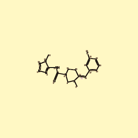 CC1CN(C(=O)Nc2nnnn2C)CC/C1=C\c1cccc(F)c1